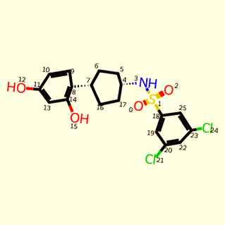 O=S(=O)(N[C@H]1CC[C@@H](c2ccc(O)cc2O)CC1)c1cc(Cl)cc(Cl)c1